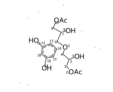 CC(=O)OCC(O)COCC(O)COC(C)=O.Oc1cccc(O)c1